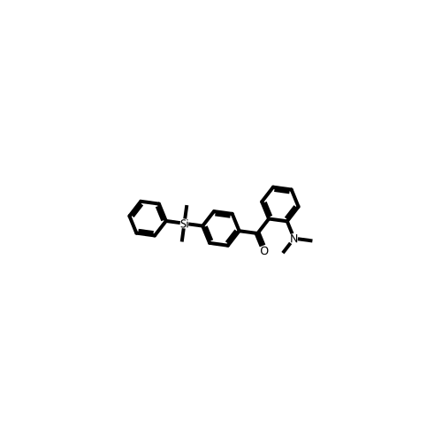 CN(C)c1ccccc1C(=O)c1ccc([Si](C)(C)c2ccccc2)cc1